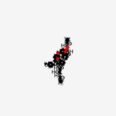 COc1ccc(CN(Cc2ccc(OC)cc2)S(=O)(=O)c2c(S(=O)(=O)NC[C@H](O)CNC(=O)OC(C)(C)C)ccc(N3CCC(S(=O)(=O)NCCNC(=O)OC(C)(C)C)CC3)c2-c2nnn(Cc3ccc(OC)cc3)n2)cc1